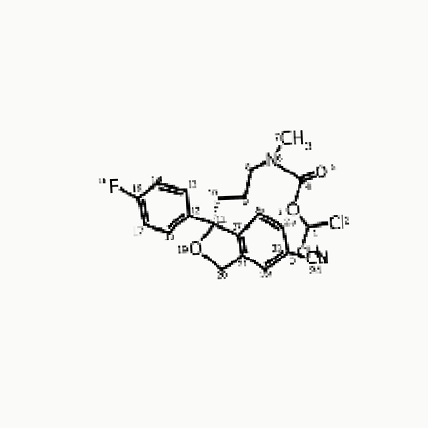 CC(Cl)OC(=O)N(C)CCC[C@@]1(c2ccc(F)cc2)OCc2cc(C#N)ccc21